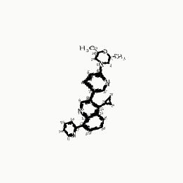 C[C@@H]1CN(c2ccc(-c3cnc4c(-c5ccccn5)cccc4c3C3CC3)cn2)C[C@H](C)O1